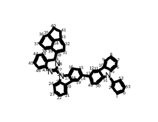 c1ccc(-n2c3ccccc3c3cc(-c4ccc5c(c4)c4ccccc4n5-c4nc(-c5ccc6c7c(cccc57)CC6)c5ccccc5n4)ccc32)cc1